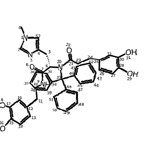 Cn1cnc(C[C@@H](C(=O)NCCc2ccc(O)c(O)c2)N(C(=O)CCc2ccc(O)c(O)c2)C(c2ccccc2)(c2ccccc2)c2ccccc2)c1